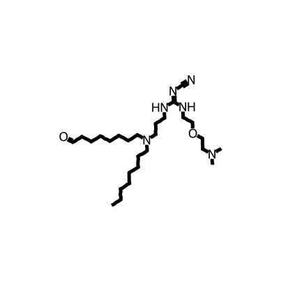 CCCCCCCCN(CCCCCCCC=O)CCCN/C(=N/C#N)NCCOCCN(C)C